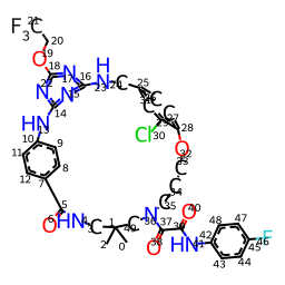 CC1(C)CNC(=O)c2ccc(cc2)Nc2nc(nc(OCC(F)(F)F)n2)NCc2ccc(c(Cl)c2)OCCCN(C(=O)C(=O)Nc2ccc(F)cc2)C1